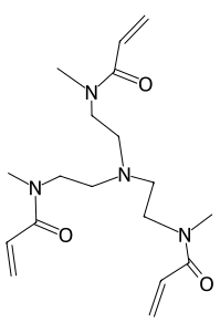 C=CC(=O)N(C)CCN(CCN(C)C(=O)C=C)CCN(C)C(=O)C=C